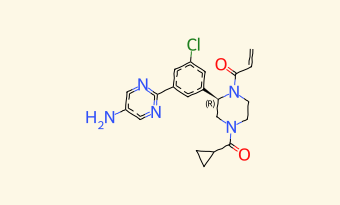 C=CC(=O)N1CCN(C(=O)C2CC2)C[C@H]1c1cc(Cl)cc(-c2ncc(N)cn2)c1